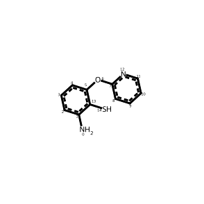 Nc1cccc(Oc2ccccn2)c1S